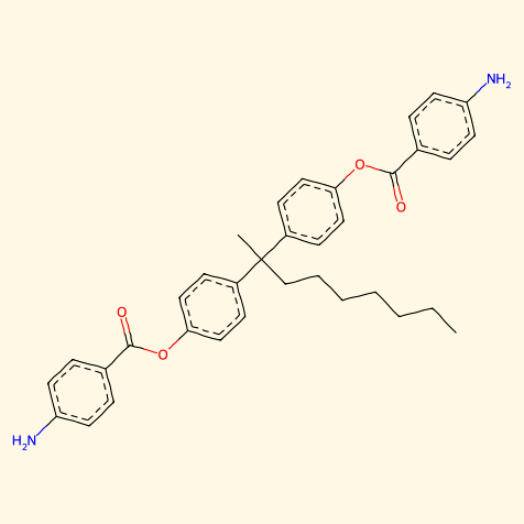 CCCCCCCC(C)(c1ccc(OC(=O)c2ccc(N)cc2)cc1)c1ccc(OC(=O)c2ccc(N)cc2)cc1